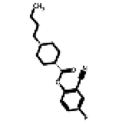 CCCC[C@H]1CC[C@H](C(=O)Oc2ccc(F)cc2C#N)CC1